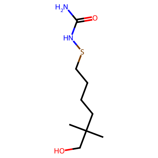 CC(C)(CO)CCCCSNC(N)=O